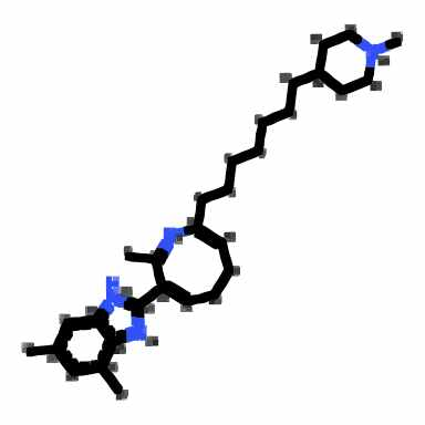 CC1=N/C(CCCCCCCC2CCN(C)CC2)=C\CC/C=C\1c1nc2c(C)cc(C)cc2[nH]1